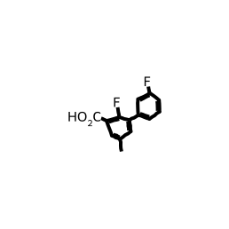 Cc1cc(C(=O)O)c(F)c(-c2cccc(F)c2)c1